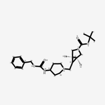 CC(C)(C)OC(=O)N1C[C@@H]2C(CN3CCC(NC(=O)OCc4ccccc4)CC3)[C@@H]2C1